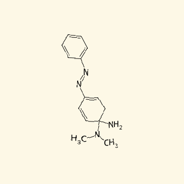 CN(C)C1(N)C=CC(N=Nc2ccccc2)=CC1